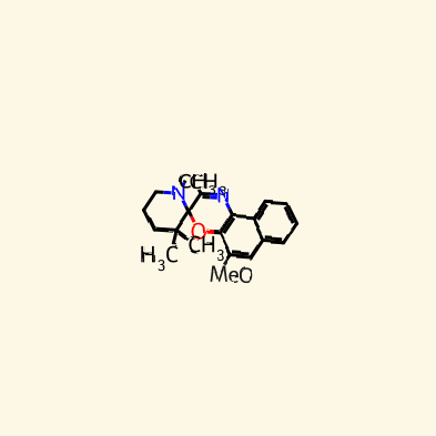 COc1cc2ccccc2c2c1OC1(C(C)=N2)N(C)CCCC1(C)C